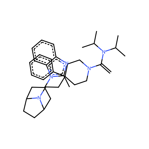 C=C(N1CCC(CCN2C3CCC2CC(n2c(C)nc4ccccc42)C3)(c2ccccc2)CC1)N(C(C)C)C(C)C